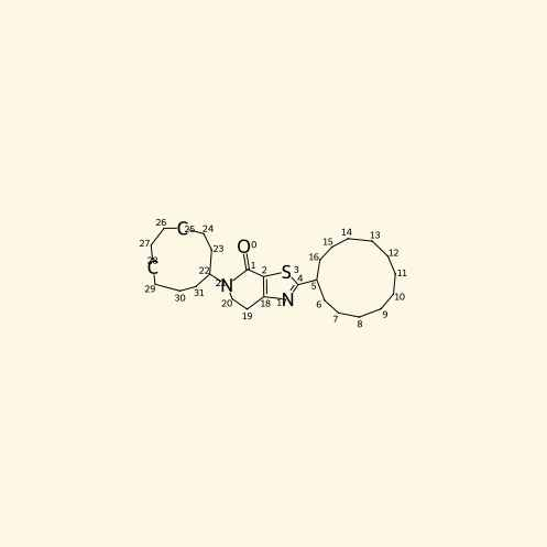 O=C1c2sc(C3CCCCCCCCCCC3)nc2CCN1C1CCCCCCCCC1